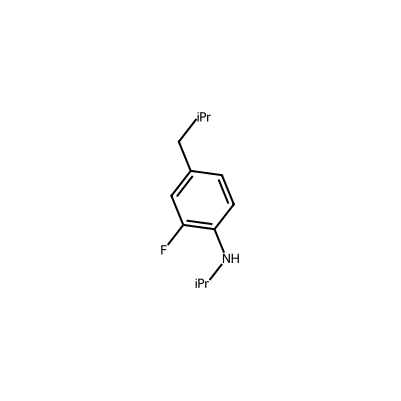 CC(C)Cc1ccc(NC(C)C)c(F)c1